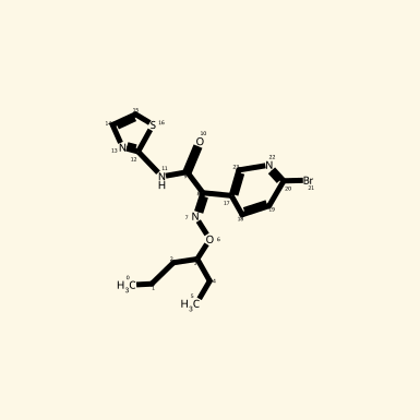 CCCC(CC)O/N=C(/C(=O)Nc1nccs1)c1ccc(Br)nc1